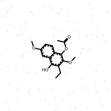 CCc1c(OC)c(OC(C)=O)c2ccc(OC)cc2c1O